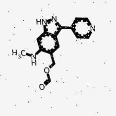 CNc1cc2[nH]nc(-c3ccncc3)c2cc1COC=O